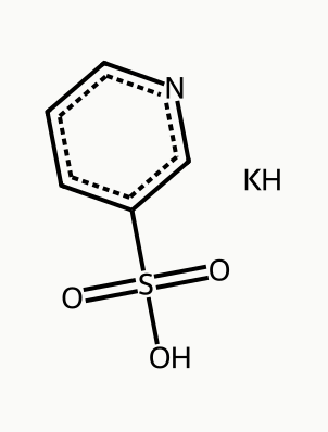 O=S(=O)(O)c1cccnc1.[KH]